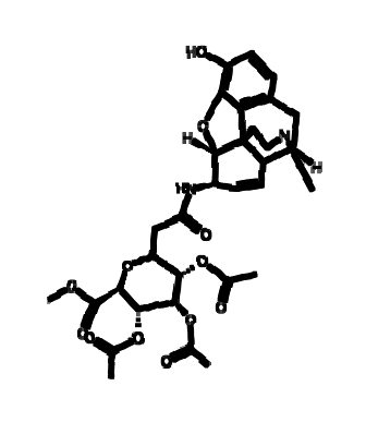 COC(=O)[C@H]1OC(CC(=O)N[C@@H]2C=CC3[C@H]4Cc5ccc(O)c6c5[C@@]3(CCN4C)[C@H]2O6)[C@H](OC(C)=O)[C@@H](OC(C)=O)[C@@H]1OC(C)=O